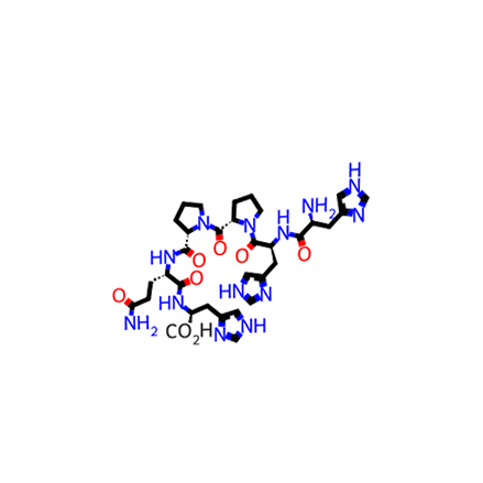 NC(=O)CC[C@H](NC(=O)[C@@H]1CCCN1C(=O)[C@@H]1CCCN1C(=O)[C@H](Cc1c[nH]cn1)NC(=O)[C@@H](N)Cc1c[nH]cn1)C(=O)N[C@@H](Cc1c[nH]cn1)C(=O)O